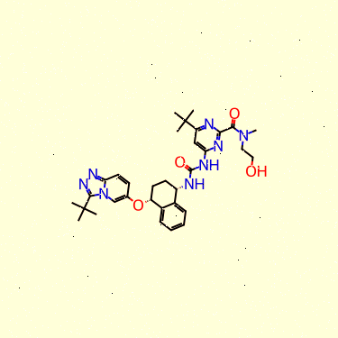 CN(CCO)C(=O)c1nc(NC(=O)N[C@H]2CC[C@@H](Oc3ccc4nnc(C(C)(C)C)n4c3)c3ccccc32)cc(C(C)(C)C)n1